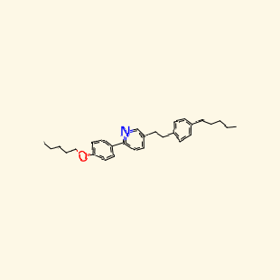 CCCCCOc1ccc(-c2ccc(CCc3ccc(CCCCC)cc3)cn2)cc1